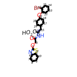 O=C(COc1nc2ccccc2s1)N/C(=C/c1ccc(Oc2ccccc2Br)cc1)C(=O)O